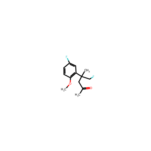 COc1ccc(F)cc1C(C)(CF)CC(C)=O